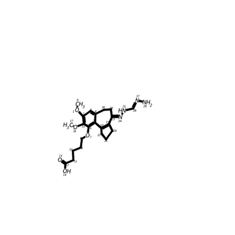 COc1cc2c(c(OCCCCC(=O)O)c1OC)C1=C(CCC1)C(=NNC=NN)CC2